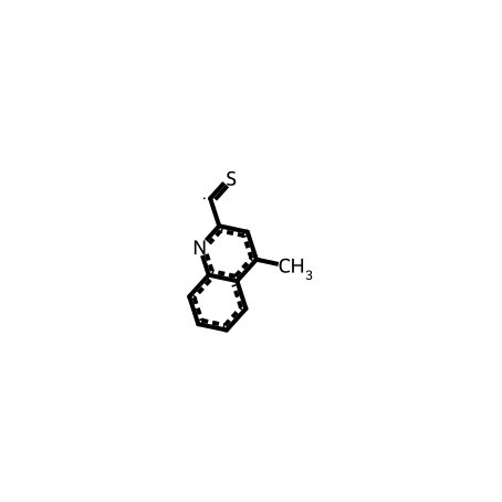 Cc1cc([C]=S)nc2ccccc12